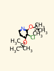 C[Si](C)(C)Oc1ccnc(O[Si](C)(C)C)c1Cl